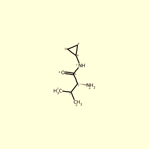 CC(C)[C@@H](N)C(=O)NC1CC1